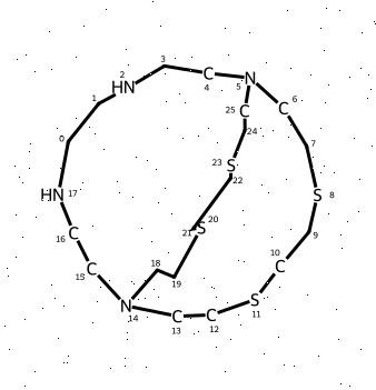 C1CNCCN2CCSCCSCCN(CCN1)CCSCCSCC2